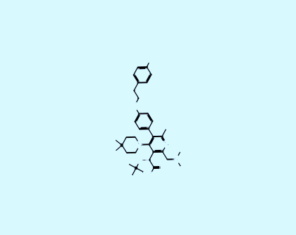 Cc1nc(CN(C)C)c([C@H](OC(C)(C)C)C(=O)O)c(N2CCC(C)(C)CC2)c1-c1ccc(OCCc2ccc(F)cc2)cc1